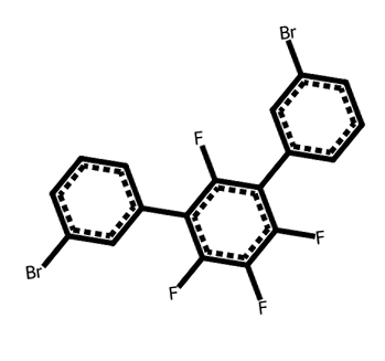 Fc1c(F)c(-c2cccc(Br)c2)c(F)c(-c2cccc(Br)c2)c1F